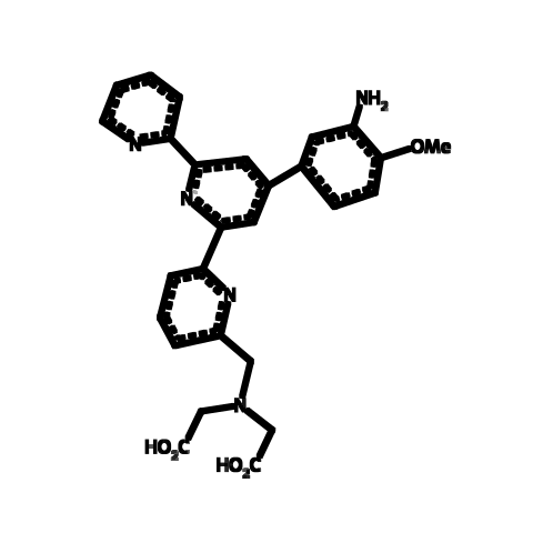 COc1ccc(-c2cc(-c3ccccn3)nc(-c3cccc(CN(CC(=O)O)CC(=O)O)n3)c2)cc1N